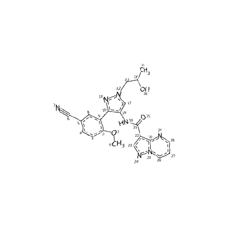 COc1ccc(C#N)cc1-c1nn(CC(C)O)cc1NC(=O)c1cnn2cccnc12